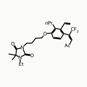 C=Cc1c(/C(=C\C(C)=O)C(F)(F)F)ccc(OCCCCN2C(=O)N(CC)C(C)(C)C2=O)c1CCC